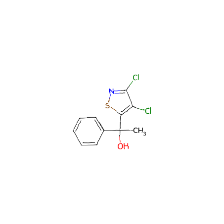 CC(O)(c1ccccc1)c1snc(Cl)c1Cl